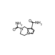 NC(=O)c1ccn2c1CN(C(N)=O)CC2